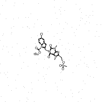 Cn1c(CCOS(C)(=O)=O)nc2c1c(=O)n(Cc1cc3cc(Cl)ccc3n1C(=O)OC(C)(C)C)c(=O)n2C